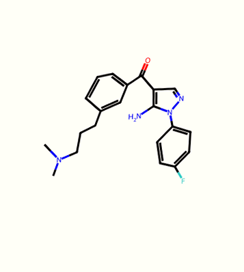 CN(C)CCCc1cccc(C(=O)c2cnn(-c3ccc(F)cc3)c2N)c1